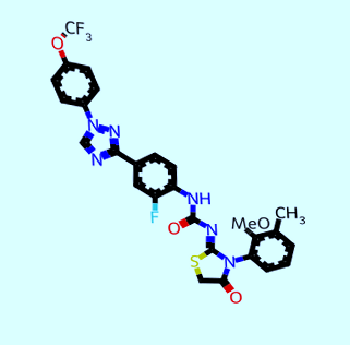 COc1c(C)cccc1N1C(=O)CSC1=NC(=O)Nc1ccc(-c2ncn(-c3ccc(OC(F)(F)F)cc3)n2)cc1F